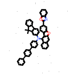 CC1(C)c2ccccc2-c2ccc(N(c3ccc(-c4ccc(-c5ccccc5)cc4)cc3)c3c4ccccc4cc4oc5cc(-c6nc7ccccc7o6)ccc5c34)cc21